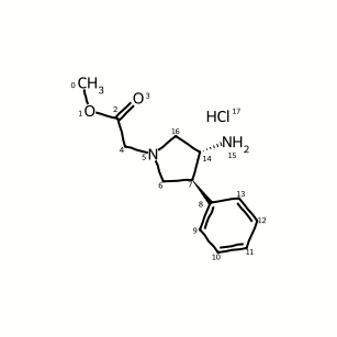 COC(=O)CN1C[C@H](c2ccccc2)[C@@H](N)C1.Cl